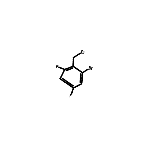 Fc1cc(F)c(CBr)c(Br)c1